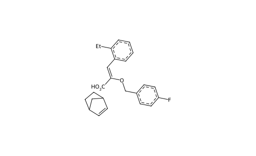 C1=CC2CCC1C2.CCc1ccccc1C=C(OCc1ccc(F)cc1)C(=O)O